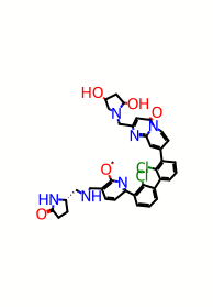 COc1nc(-c2cccc(-c3cccc(-c4ccn5c(=O)cc(CN6C[C@@H](O)CC6O)nc5c4)c3Cl)c2Cl)ccc1CNC[C@@H]1CCC(=O)N1